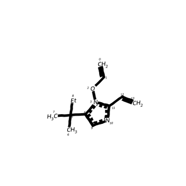 C=COn1c(C(C)(C)CC)cnc1C=C